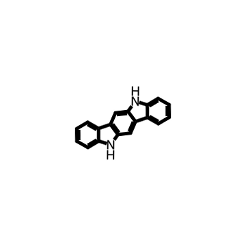 c1ccc2c(c1)[nH]c1cc3c(cc12)[nH]c1ccccc13